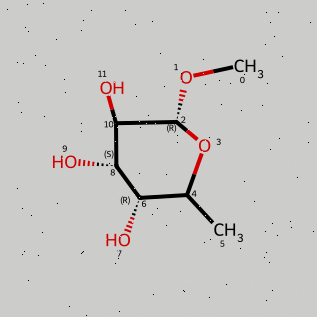 CO[C@@H]1OC(C)[C@H](O)[C@H](O)C1O